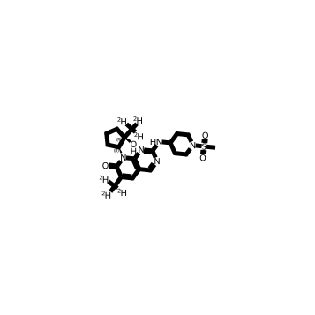 [2H]C([2H])([2H])c1cc2cnc(NC3CCN(S(C)(=O)=O)CC3)nc2n([C@@H]2CCC[C@]2(O)C([2H])([2H])[2H])c1=O